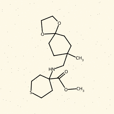 COC(=O)C1(NCC2(C)CCC3(CC2)OCCO3)CCSCC1